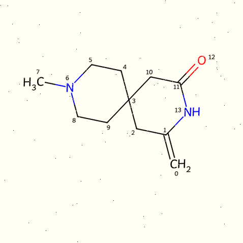 C=C1CC2(CCN(C)CC2)CC(=O)N1